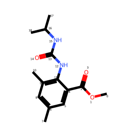 COC(=O)c1cc(C)cc(C)c1NC(=O)NC(C)C